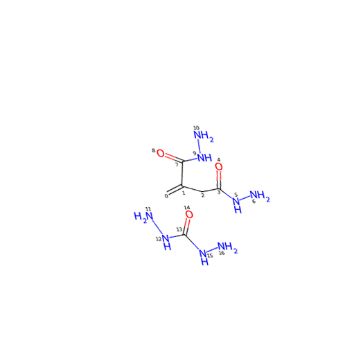 C=C(CC(=O)NN)C(=O)NN.NNC(=O)NN